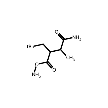 CC(C(N)=O)C(CC(C)(C)C)C(=O)ON